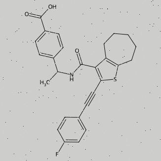 CC(NC(=O)c1c(C#Cc2ccc(F)cc2)sc2c1CCCCC2)c1ccc(C(=O)O)cc1